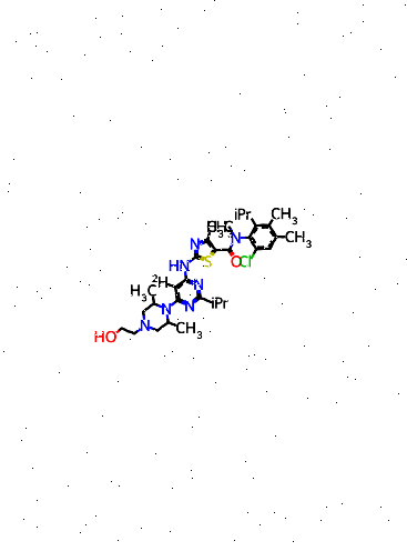 [2H]c1c(Nc2nc(C)c(C(=O)N(C)c3c(Cl)cc(C)c(C)c3C(C)C)s2)nc(C(C)C)nc1N1C(C)CN(CCO)CC1C